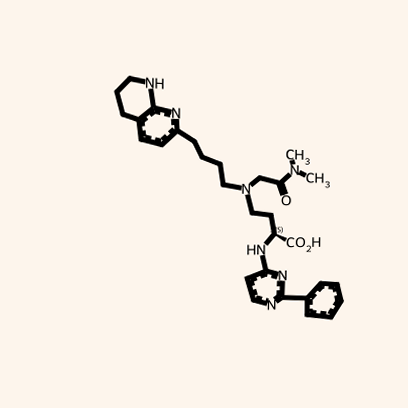 CN(C)C(=O)CN(CCCCc1ccc2c(n1)NCCC2)CC[C@H](Nc1ccnc(-c2ccccc2)n1)C(=O)O